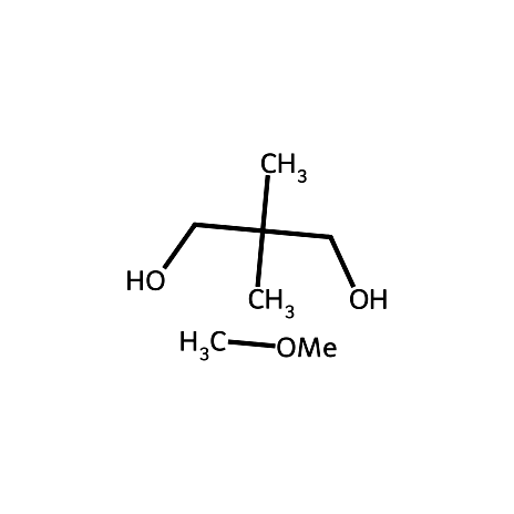 CC(C)(CO)CO.COC